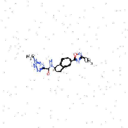 Cc1noc(-c2ccc3c(c2)CC[C@H]3NC(=O)c2nnn(C)n2)n1